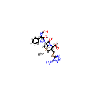 Nn1nnnc1SCC1=C(C(=O)[O-])N2C(=O)[C@@H](NC(=O)/C(=N\O)c3ccccc3)[C@@H]2SC1.[Na+]